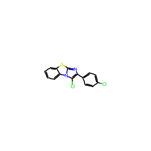 Clc1ccc(-c2nc3sc4ccccc4n3c2Cl)cc1